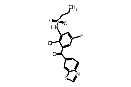 CCCS(=O)(=O)Nc1cc(F)cc(C(=O)c2ccc3ncsc3c2)c1Cl